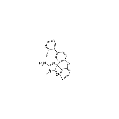 CN1C(=O)C2(N=C1N)c1ccccc1Oc1ccc(-c3cccnc3F)cc12